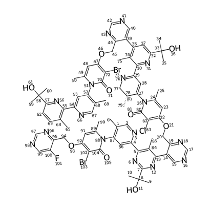 Cc1cnc(-c2nc(C(C)(C)O)nc(-c3cncnc3COc3cc(C)n(C4=CC(c5nc(C(C)(C)O)cc(-c6cncnc6COc6cc(C)n(-c7cc(-c8nc(C(C)(C)O)ccc8C)ncc7C)c(=O)c6Br)c5C)=NC[C@H]4C)c(=O)c3Cl)c2C)cc1-n1c(C)cc(OCc2ncncc2F)c(Br)c1=O